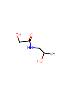 CC(C)[C](O)CNC(=O)CO